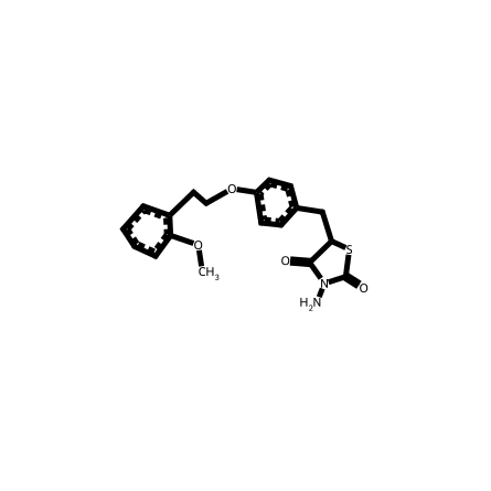 COc1ccccc1CCOc1ccc(CC2SC(=O)N(N)C2=O)cc1